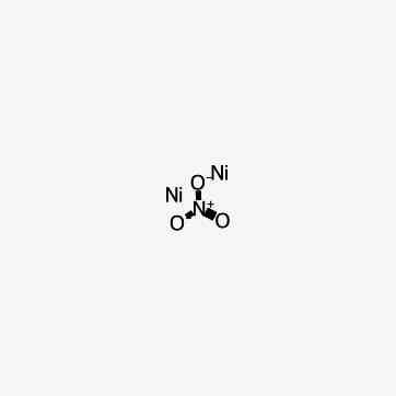 O=[N+]([O-])[O-].[Ni].[Ni]